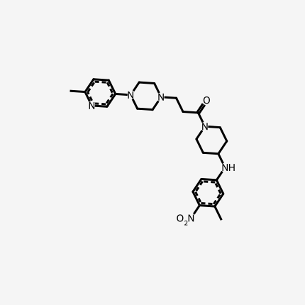 Cc1ccc(N2CCN(CCC(=O)N3CCC(Nc4ccc([N+](=O)[O-])c(C)c4)CC3)CC2)cn1